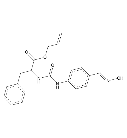 C=CCOC(=O)C(Cc1ccccc1)NC(=O)Nc1ccc(C=NO)cc1